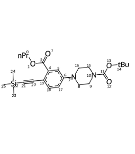 CCCOC(=O)c1cc(N2CCN(C(=O)OC(C)(C)C)CC2)ccc1C#C[Si](C)(C)C